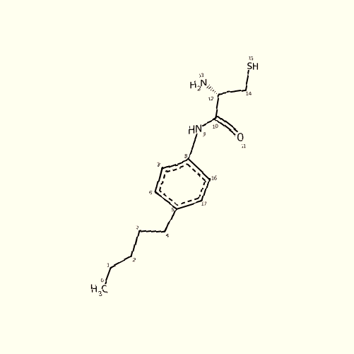 CCCCCc1ccc(NC(=O)[C@H](N)CS)cc1